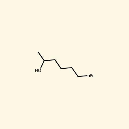 CCCCCC[CH]C(C)O